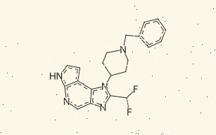 FC(F)c1nc2cnc3[nH]ccc3c2n1C1CCN(Cc2ccccc2)CC1